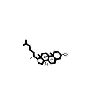 CC(C)CCC[C@@H](C)[C@H]1CC[C@H]2[C@@H]3CC=C4C[C@@H](O)CCC4(C)[C@H]3CCC12C